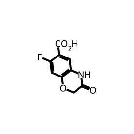 O=C1COc2cc(F)c(C(=O)O)cc2N1